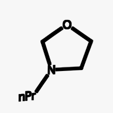 CCCN1CCOC1